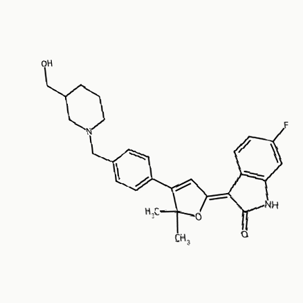 CC1(C)OC(=C2C(=O)Nc3cc(F)ccc32)C=C1c1ccc(CN2CCCC(CO)C2)cc1